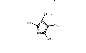 CCOC(=O)c1c(C)nc(S)n1C